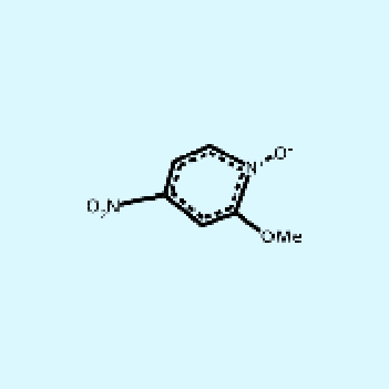 COc1cc([N+](=O)[O-])cc[n+]1[O-]